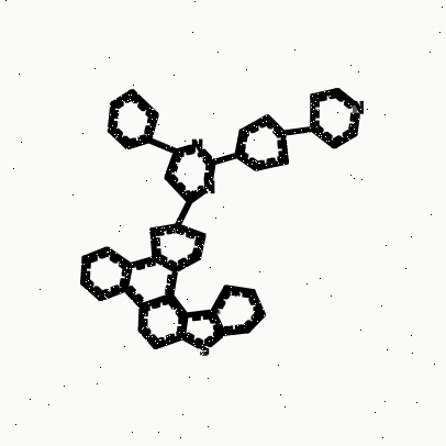 c1ccc(-c2cc(-c3ccc4c(c3)c3ccccc3c3ccc5sc6ccccc6c5c34)nc(-c3ccc(-c4ccncc4)cc3)n2)cc1